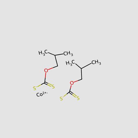 CC(C)COC(=S)[S-].CC(C)COC(=S)[S-].[Co+2]